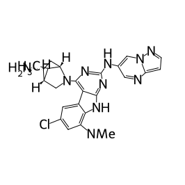 CNc1cc(Cl)cc2c1[nH]c1nc(Nc3cnc4ccnn4c3)nc(N3C[C@H]4[C@@H](C)[C@@H]3C[C@H]4N)c12